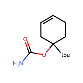 CC(C)(C)C1(OC(N)=O)CC=CCC1